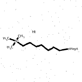 CCCCCCCCCCCCCC[N+](C)(C)C.I